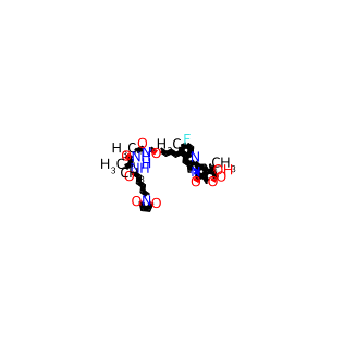 CC[C@@]1(O)C(=O)OCc2c1cc1n(c2=O)Cc2cc3c(CCCCOCNC(=O)[C@H](C)NC(=O)[C@@H](NC(=O)CCCCCN4C(=O)C=CC4=O)C(C)C)c(C)c(F)cc3nc2-1